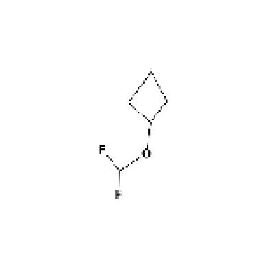 FC(F)OC1C[CH]C1